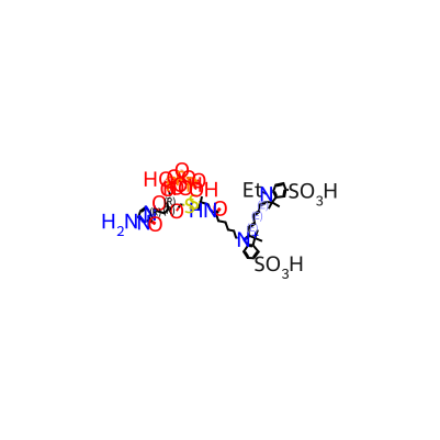 CCN1/C(=C/C=C/C=C/C2=[N+](CCCCCC(=O)NCC(C)(C)SSCO[C@@H]3C[C@H](n4ccc(N)nc4=O)O[C@@H]3COP(=O)(O)OP(=O)(O)OP(=O)(O)O)c3ccc(S(=O)(=O)O)cc3C2(C)C)C(C)(C)c2cc(S(=O)(=O)O)ccc21